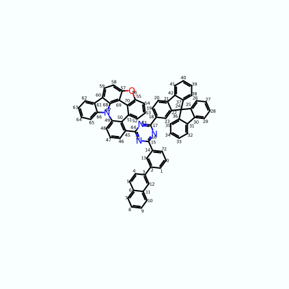 c1cc(-c2ccc3ccccc3c2)cc(-c2nc(-c3ccc4c(c3)C3(c5ccccc5-c5ccccc53)c3ccccc3-4)nc(-c3cccc4c3c3cccc5oc6ccc7c8ccccc8n4c7c6c53)n2)c1